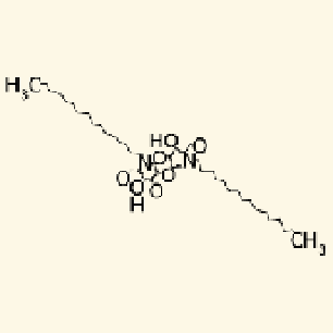 CCCCCCCCCCCCCCCCn1cc(Oc2cn(CCCCCCCCCCCCCCCC)c(C=O)c(O)c2=O)c(=O)c(O)c1C=O